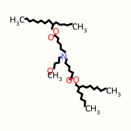 CCCCCCCCC(CCCCCC)COC(=O)CCCCCN(CCCCCC(=O)OCC(CCCCCC)CCCCCCCC)CCCCOC